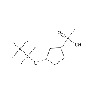 CC(C)(C)[Si](C)(C)OC1CCC(P(C)(=O)O)C1